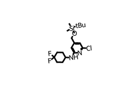 CC(C)(C)[Si](C)(C)OCc1cc(Cl)nc(NC2CCC(F)(F)CC2)c1